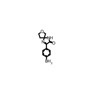 Bc1ccc(C2=NC3(CCOC3)NC2=O)cc1